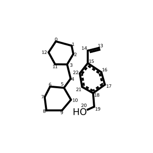 C1CCC(CC2CCCCC2)CC1.C=Cc1ccc(CO)cc1